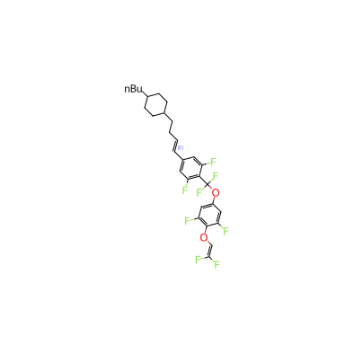 CCCCC1CCC(CC/C=C/c2cc(F)c(C(F)(F)Oc3cc(F)c(OC=C(F)F)c(F)c3)c(F)c2)CC1